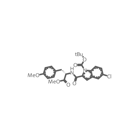 COC(=O)[C@H](Cc1ccc(OC)cc1)NC(=O)c1cc2cc(Cl)ccc2n1C(=O)OC(C)(C)C